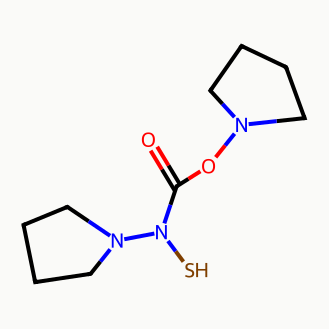 O=C(ON1CCCC1)N(S)N1CCCC1